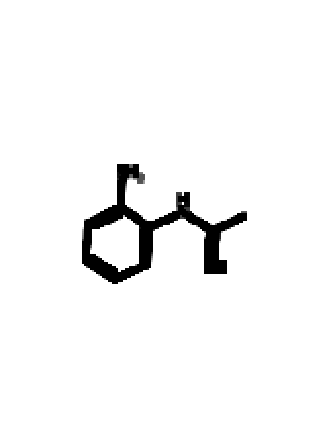 CC(=N)Nc1ccccc1N